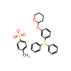 Cc1ccc(S(=O)(=O)[O-])cc1.c1ccc([S+](c2ccccc2)c2cccc(OC3CCCCO3)c2)cc1